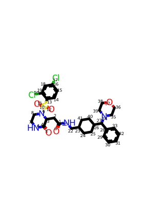 O=C(CC1C(=O)NCCN1S(=O)(=O)c1ccc(Cl)cc1Cl)NCC1CCC(C(c2ccccc2)N2CCOCC2)CC1